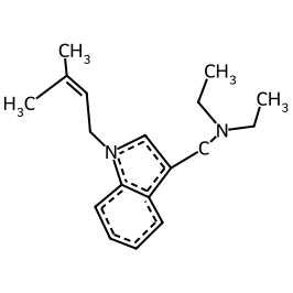 CCN(CC)Cc1cn(CC=C(C)C)c2ccccc12